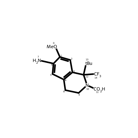 COc1cc2c(cc1N)CCN(C(=O)O)C2(C(C)(C)C)C(F)(F)F